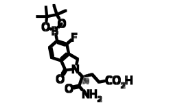 CC1(C)OB(c2ccc3c(c2F)CN([C@@H](CCC(=O)O)C(N)=O)C3=O)OC1(C)C